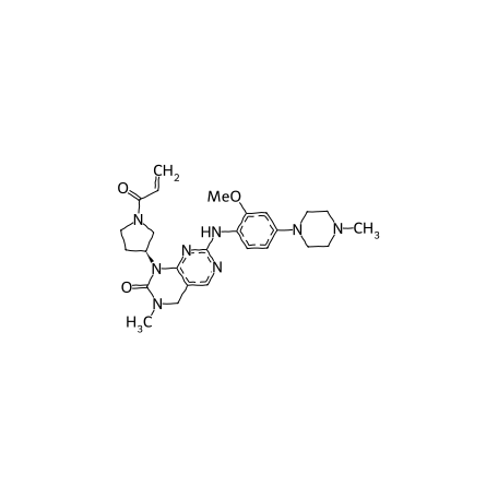 C=CC(=O)N1CC[C@H](N2C(=O)N(C)Cc3cnc(Nc4ccc(N5CCN(C)CC5)cc4OC)nc32)C1